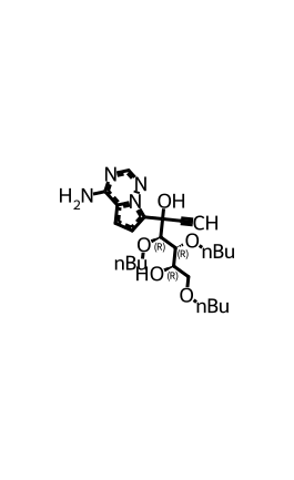 C#CC(O)(c1ccc2c(N)ncnn12)[C@H](OCCCC)[C@H](OCCCC)[C@H](O)COCCCC